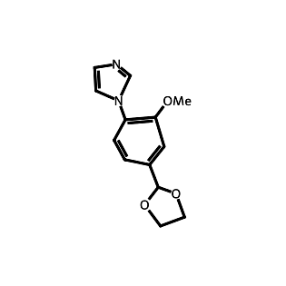 COc1cc(C2OCCO2)ccc1-n1ccnc1